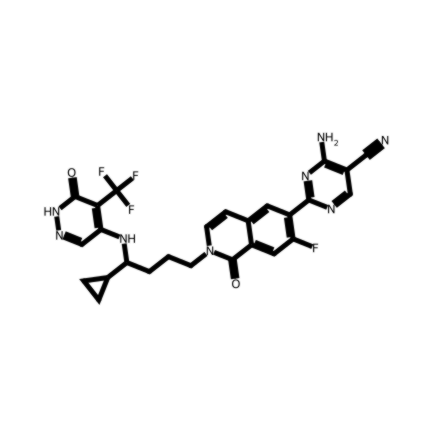 N#Cc1cnc(-c2cc3ccn(CCCC(Nc4cn[nH]c(=O)c4C(F)(F)F)C4CC4)c(=O)c3cc2F)nc1N